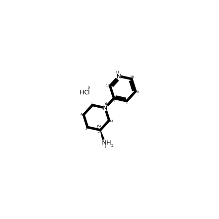 Cl.N[C@H]1CCCN(c2cccnc2)C1